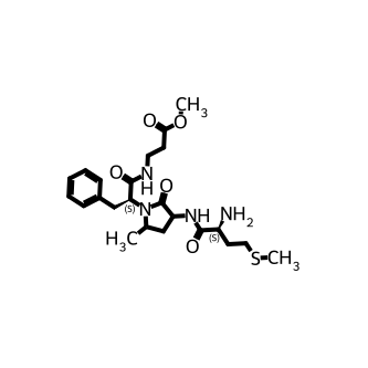 COC(=O)CCNC(=O)[C@H](Cc1ccccc1)N1C(=O)C(NC(=O)[C@@H](N)CCSC)CC1C